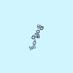 COc1cnccc1-c1ccc2nc(Nc3ncccc3CN3CCN(C(=O)CC(F)(F)F)CC3)[nH]c2c1